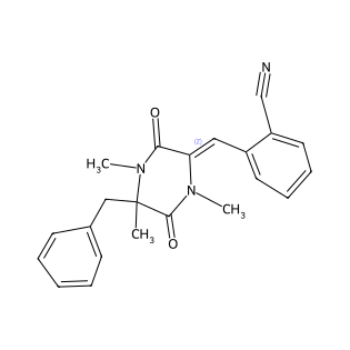 CN1C(=O)C(C)(Cc2ccccc2)N(C)C(=O)/C1=C/c1ccccc1C#N